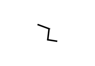 C[C]CC